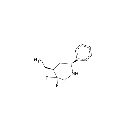 CC[C@H]1C[C@@H](c2ccccc2)NCC1(F)F